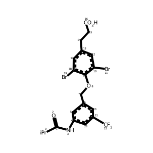 CC(C)C(=O)Nc1cc(COc2c(Br)cc(CCC(=O)O)cc2Br)cc(C(F)(F)F)c1